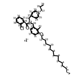 CCCCCCCCCCCCCCOc1cccc(CN(Cc2cc[n+](CCC)cc2)C(=O)c2ccccc2Cl)c1C.[I-]